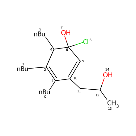 CCCCC1=C(CCCC)C(CCCC)C(O)(Cl)C=C1CC(C)O